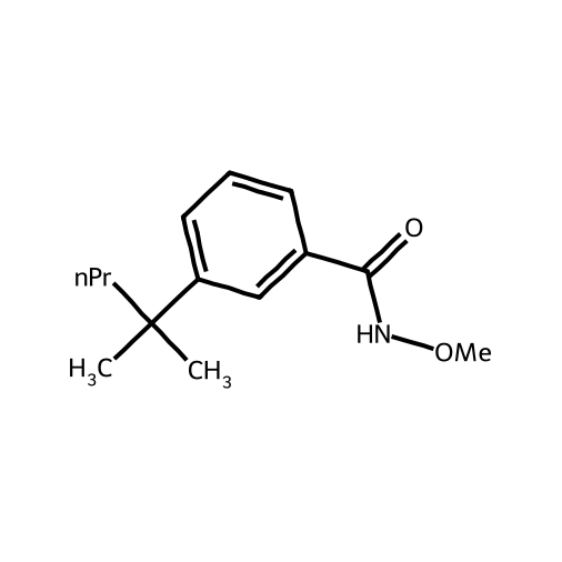 CCCC(C)(C)c1cccc(C(=O)NOC)c1